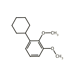 COc1cccc(C2CCCCC2)c1OC